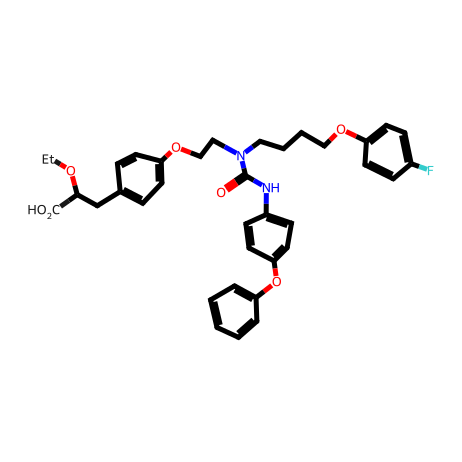 CCOC(Cc1ccc(OCCN(CCCCOc2ccc(F)cc2)C(=O)Nc2ccc(Oc3ccccc3)cc2)cc1)C(=O)O